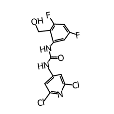 O=C(Nc1cc(Cl)nc(Cl)c1)Nc1cc(F)cc(F)c1CO